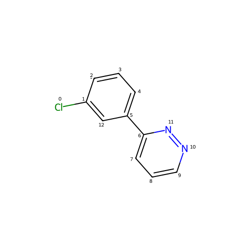 Clc1[c]ccc(-c2cccnn2)c1